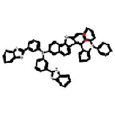 c1ccc(N(c2ccccc2)c2ccccc2-c2cccc3oc4c5ccc(N(c6cccc(-c7nc8ccccc8s7)c6)c6cccc(-c7nc8ccccc8s7)c6)cc5ccc4c23)cc1